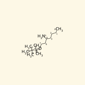 CCCCC(N)CCO[Si](C)(C)C(C)(C)C